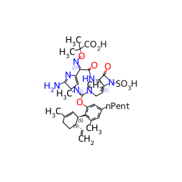 C=C[C@@H]1CCC(C)=C[C@H]1c1c(C)cc(CCCCC)cc1O/C(=N\C)N(C)C/C=C1\[C@H](NC(=O)/C(=N\OC(C)(C)C(=O)O)C2=CCC(N)=N2)C(=O)N1S(=O)(=O)O